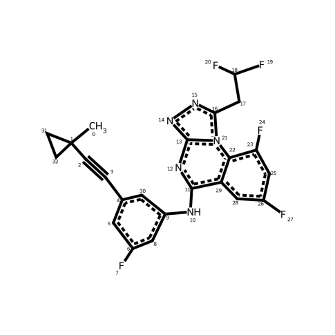 CC1(C#Cc2cc(F)cc(Nc3nc4nnc(CC(F)F)n4c4c(F)cc(F)cc34)c2)CC1